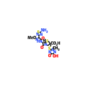 CON=C(C(=O)NC1C(=O)N2CC(CSc3nc(=O)c(O)nn3C)(C(=O)O)CS[C@H]12)c1nsc(N)n1